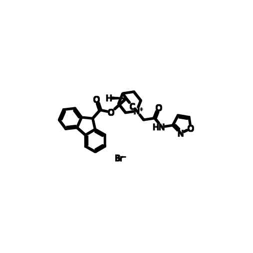 O=C(C[N+]12CCC(CC1)[C@@H](OC(=O)C1c3ccccc3-c3ccccc31)C2)Nc1ccon1.[Br-]